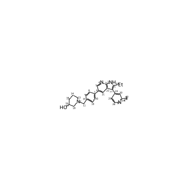 CCc1[nH]c2ncc(-c3ccc(CN4CCCC(O)C4)cc3)cc2c1-c1ccnc(F)c1